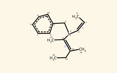 C/C=C\N(Cc1ccccc1)/C(C)=C(\C)CC